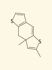 CC1=CC2(C)Cc3sccc3C=C2S1